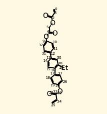 C=CC(=O)OCC(=O)Oc1ccc(-c2ccc(-c3ccc(OC(=O)C=C)cc3)c(CC)c2)cc1